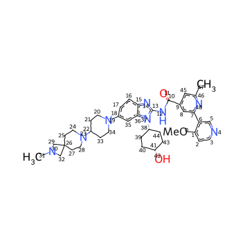 COc1ccncc1-c1cc(C(=O)Nc2nc3ccc(N4CCC(N5CCC6(CC5)CN(C)C6)CC4)cc3n2[C@H]2CC[C@@H](O)CC2)cc(C)n1